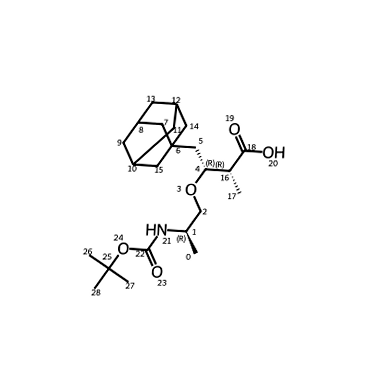 C[C@H](CO[C@H](CC12CC3CC(CC(C3)C1)C2)[C@@H](C)C(=O)O)NC(=O)OC(C)(C)C